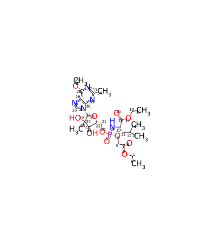 CCOC(=O)COP(=O)(N[C@@H](CC(C)C)C(=O)OCC)OC[C@H]1O[C@@H](n2cnc3c(OC)nc(C)nc32)[C@@](C)(O)C1O